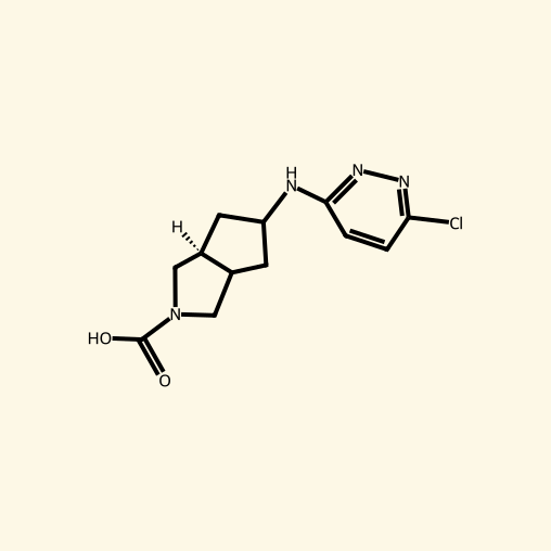 O=C(O)N1CC2CC(Nc3ccc(Cl)nn3)C[C@@H]2C1